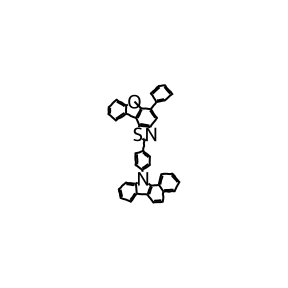 c1ccc(-c2cc3nc(-c4ccc(-n5c6ccccc6c6ccc7ccccc7c65)cc4)sc3c3c2oc2ccccc23)cc1